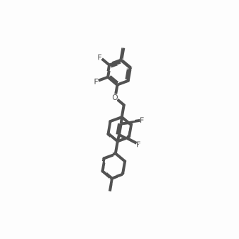 Cc1ccc(OCC23CCC(C4CCC(C)CC4)(CC2)C(F)=C3F)c(F)c1F